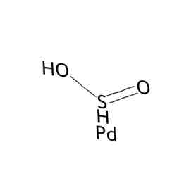 O=[SH]O.[Pd]